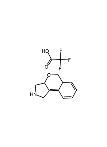 C1=CC2=C3CNCC3OCC2C=C1.O=C(O)C(F)(F)F